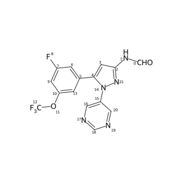 O=CNc1cc(-c2cc(F)cc(OC(F)(F)F)c2)n(-c2cncnc2)n1